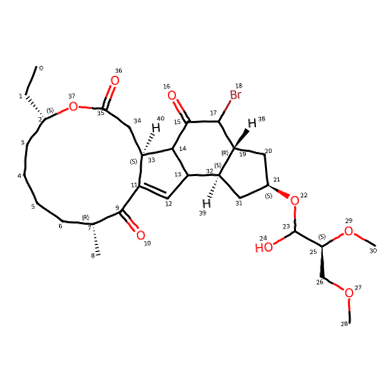 CC[C@H]1CCCC[C@@H](C)C(=O)C2=CC3C(C(=O)C(Br)[C@@H]4C[C@@H](OC(O)[C@H](COC)OC)C[C@@H]34)[C@@H]2CC(=O)O1